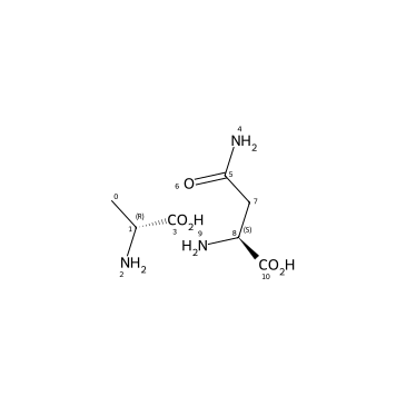 C[C@@H](N)C(=O)O.NC(=O)C[C@H](N)C(=O)O